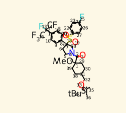 COC1(C(=O)N2CC[C@](c3ccc(C(F)(C(F)(F)F)C(F)(F)F)cc3)(S(=O)(=O)c3ccc(F)cc3)C2)CCC(CO[Si](C)(C)C(C)(C)C)CC1